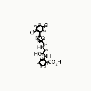 O=C(O)c1ccccc1NC(O)CNCc1nnc(-c2cc(Cl)ccc2Cl)o1